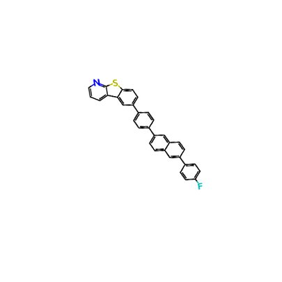 Fc1ccc(-c2ccc3cc(-c4ccc(-c5ccc6sc7ncccc7c6c5)cc4)ccc3c2)cc1